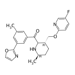 Cc1cc(C(=O)C2N[C@H](C)CC[C@H]2COc2ccc(F)cn2)cc(-c2ncco2)c1